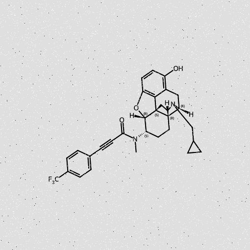 CN(C(=O)C#Cc1ccc(C(F)(F)F)cc1)[C@H]1CC[C@H]2[C@H]3Cc4c(O)ccc5c4[C@@]2(CCN3CC2CC2)[C@H]1O5